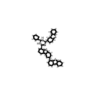 c1ccc(C2NC(c3cccc4c3sc3ccc(-c5cccc6c5sc5ccccc56)cc34)=NC(c3ccc4sc5ccccc5c4c3)N2)cc1